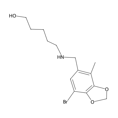 Cc1c(CNCCCCCO)cc(Br)c2c1OCO2